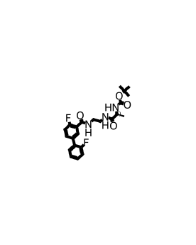 C[C@H](NC(=O)OC(C)(C)C)C(=O)NCCNC(=O)c1cc(-c2ccccc2F)ccc1F